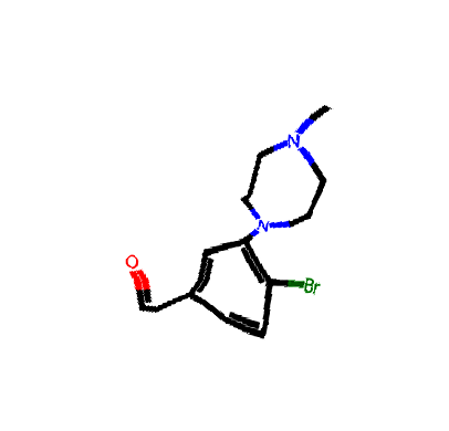 CN1CCN(c2cc(C=O)ccc2Br)CC1